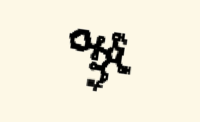 COC(=O)c1c(O)nn(C)c1S(=O)(=O)c1ccccc1